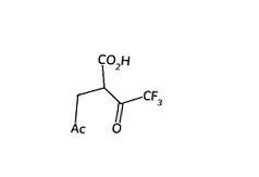 CC(=O)CC(C(=O)O)C(=O)C(F)(F)F